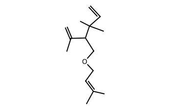 C=CC(C)(C)C(COCC=C(C)C)C(=C)C